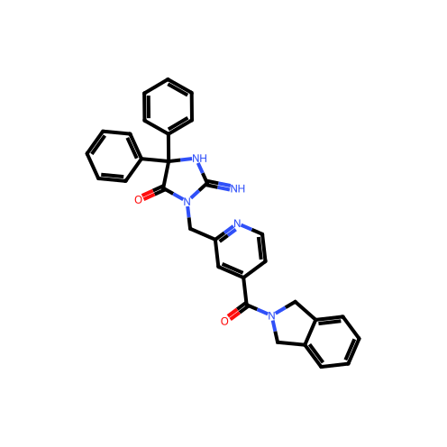 N=C1NC(c2ccccc2)(c2ccccc2)C(=O)N1Cc1cc(C(=O)N2Cc3ccccc3C2)ccn1